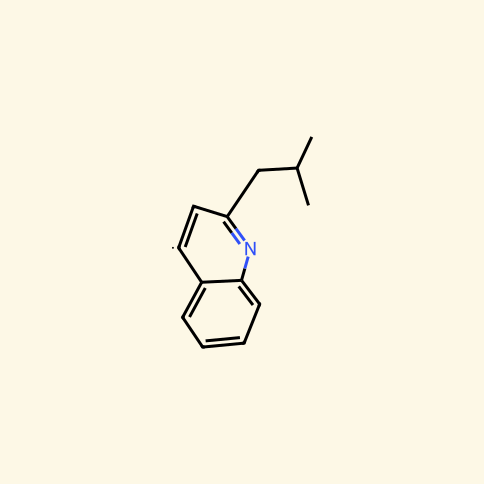 CC(C)Cc1c[c]c2ccccc2n1